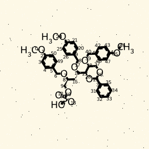 COc1ccc(CO[C@H](COS(=O)(=O)O)C[C@H](OCc2ccc(OC)cc2)[C@@H]2OC(c3ccccc3)OC[C@@H]2OCc2ccc(OC)cc2)cc1